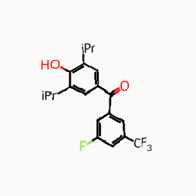 CC(C)c1cc(C(=O)c2cc(F)cc(C(F)(F)F)c2)cc(C(C)C)c1O